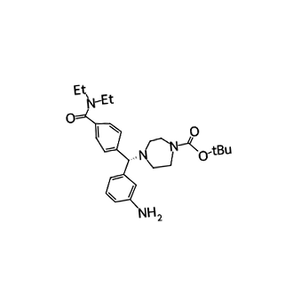 CCN(CC)C(=O)c1ccc([C@@H](c2cccc(N)c2)N2CCN(C(=O)OC(C)(C)C)CC2)cc1